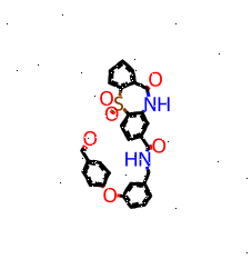 O=Cc1ccc(Oc2cccc(CNC(=O)c3ccc4c(c3)NC(=O)c3ccccc3S4(=O)=O)c2)cc1